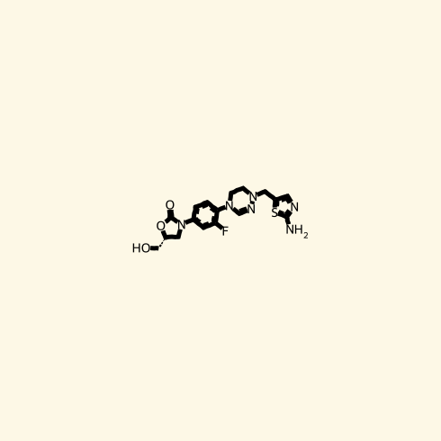 Nc1ncc(CN2CCN(c3ccc(N4C[C@H](CO)OC4=O)cc3F)C=N2)s1